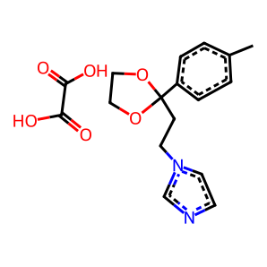 Cc1ccc(C2(CCn3ccnc3)OCCO2)cc1.O=C(O)C(=O)O